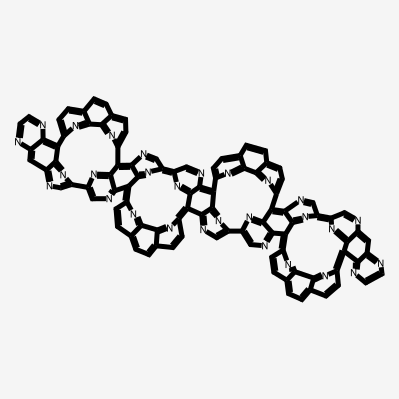 c1cnc2c(cc3ncc4nc3c2c2ccc3ccc5ccc(nc5c3n2)c2c3ncc5nc3c(c3ccc6ccc7ccc(nc7c6n3)c3c6ncc7nc6c(c6ccc8ccc9ccc(nc9c8n6)c6c8ncc9nc8c(c8ccc%10ccc%11ccc(nc%11c%10n8)c8c%10nccnc%10cc%10ncc9nc%108)c8ncc7nc86)c6ncc5nc63)c3ncc4nc32)n1